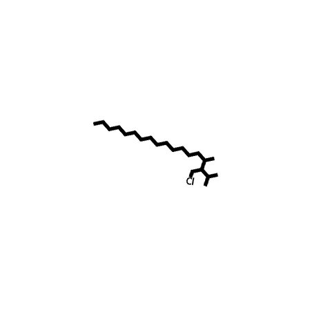 CCCCCCCCCCCCCCC(C)C(CCl)C(C)C